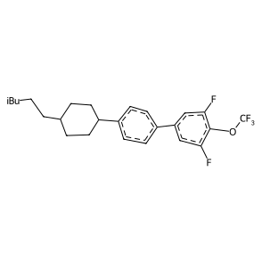 CCC(C)CCC1CCC(c2ccc(-c3cc(F)c(OC(F)(F)F)c(F)c3)cc2)CC1